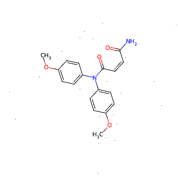 COc1ccc(N(C(=O)/C=C\C(N)=O)c2ccc(OC)cc2)cc1